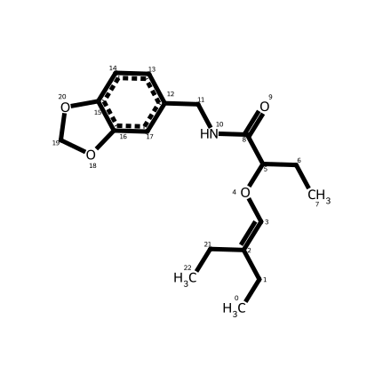 CCC(=COC(CC)C(=O)NCc1ccc2c(c1)OCO2)CC